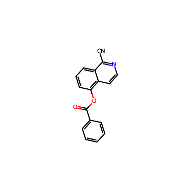 N#Cc1nccc2c(OC(=O)c3ccccc3)cccc12